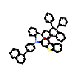 c1ccc(-c2c(-c3ccccc3)c3cc(-c4ccccc4N(c4ccc(-c5cccc6ccccc56)cc4)c4ccc5c(c4)sc4ccccc45)ccc3c3ccccc23)cc1